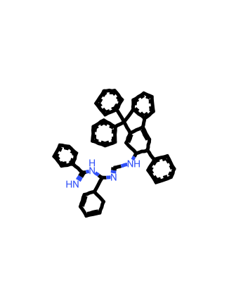 N=C(NC(/N=C/NC1C=C2C(=CC1c1ccccc1)c1ccccc1C2(c1ccccc1)c1ccccc1)C1C=CC=CC1)c1ccccc1